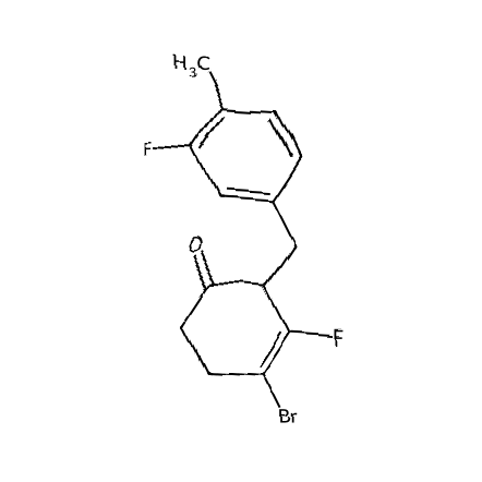 Cc1ccc(CC2C(=O)CCC(Br)=C2F)cc1F